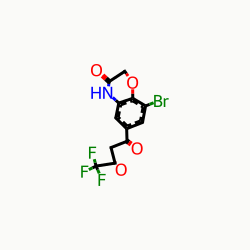 O=C1COc2c(Br)cc(C(=O)CC(=O)C(F)(F)F)cc2N1